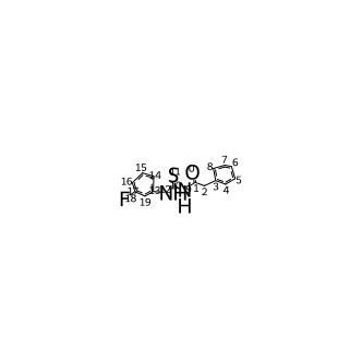 O=C(Cc1ccccc1)NC(=S)Nc1cccc(F)c1